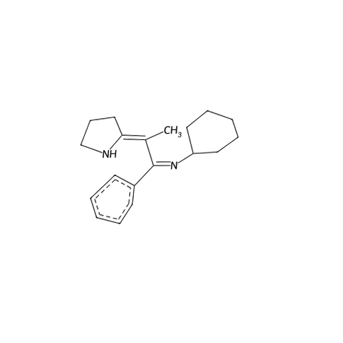 CC(C(=NC1CCCCC1)c1ccccc1)=C1CCCN1